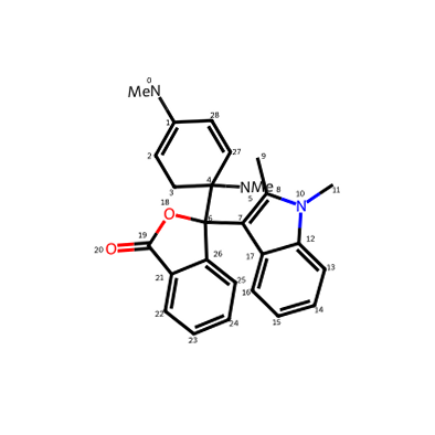 CNC1=CCC(NC)(C2(c3c(C)n(C)c4ccccc34)OC(=O)c3ccccc32)C=C1